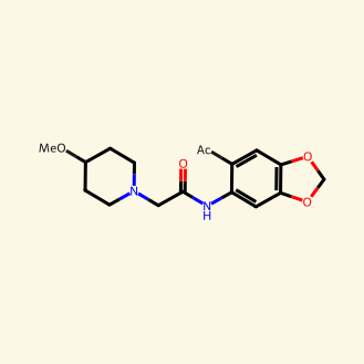 COC1CCN(CC(=O)Nc2cc3c(cc2C(C)=O)OCO3)CC1